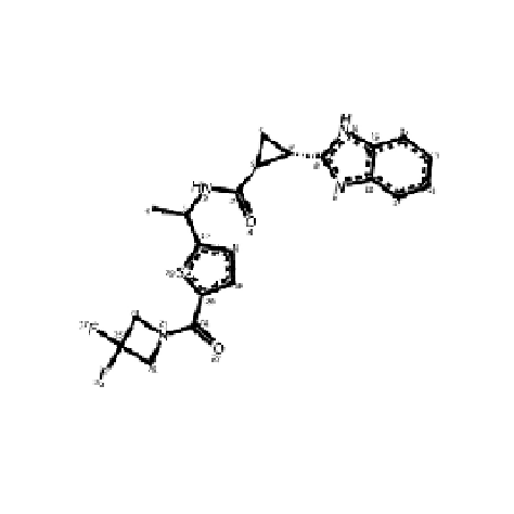 C[C@@H](NC(=O)[C@H]1C[C@@H]1c1nc2ccccc2[nH]1)c1ccc(C(=O)N2CC(F)(F)C2)s1